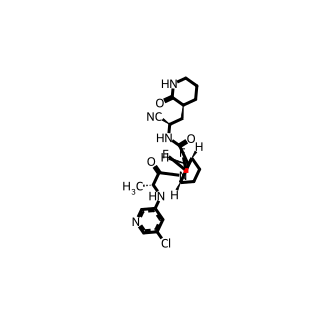 C[C@@H](Nc1cncc(Cl)c1)C(=O)N1[C@H]2CC[C@@H]([C@H]1C(=O)N[C@@H](C#N)C[C@@H]1CCCNC1=O)C(F)(F)C2